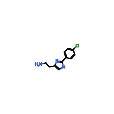 NCCC1=C[N]C(c2ccc(Cl)cc2)=N1